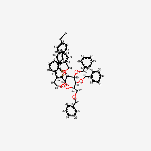 CCc1ccc(Cc2cccc3c4c(sc23)[C@@]2(OCC4)O[C@H](COCc3ccccc3)[C@H](OCc3ccccc3)[C@H](OCc3ccccc3)[C@H]2OCc2ccccc2)cc1